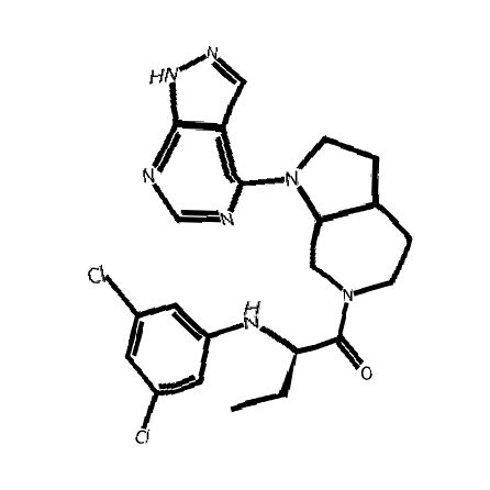 CC[C@@H](Nc1cc(Cl)cc(Cl)c1)C(=O)N1CCC2CCN(c3ncnc4[nH]ncc34)C2C1